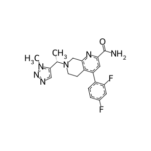 C[C@@H](c1cnnn1C)N1CCc2c(-c3ccc(F)cc3F)cc(C(N)=O)nc2C1